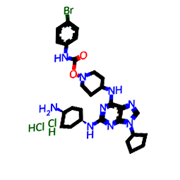 Cl.Cl.N[C@H]1CC[C@H](Nc2nc(NC3CCN(OC(=O)Nc4ccc(Br)cc4)CC3)c3ncn(C4CCCC4)c3n2)CC1